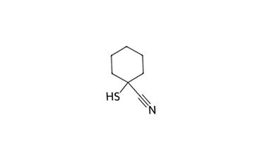 N#CC1(S)CCCCC1